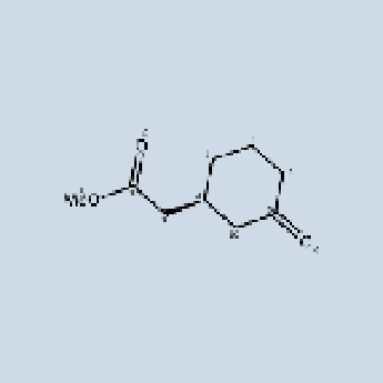 COC(=O)C[C@H]1CCCC(=O)C1